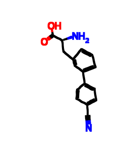 N#Cc1ccc(-c2cccc(C[C@H](N)C(=O)O)c2)cc1